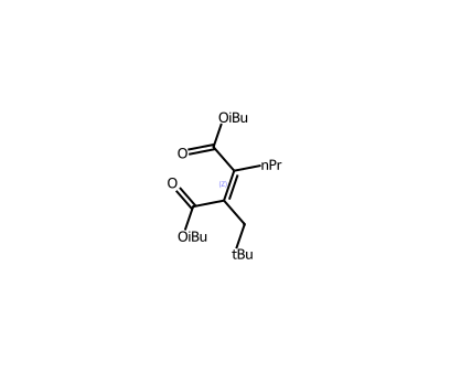 CCC/C(C(=O)OCC(C)C)=C(\CC(C)(C)C)C(=O)OCC(C)C